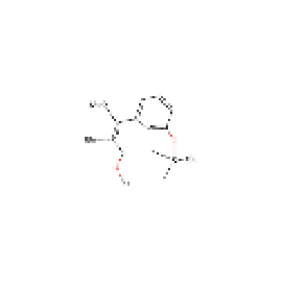 CCOCC(=C(OC)c1cccc(O[Si](C)(C)C(C)(C)C)c1)C(C)(C)C